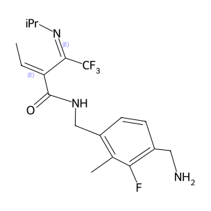 C/C=C(C(=O)NCc1ccc(CN)c(F)c1C)\C(=N/C(C)C)C(F)(F)F